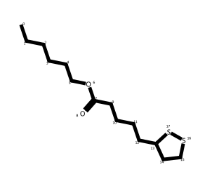 CCCCCCOC(=O)CCCCC1CCSS1